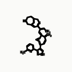 C=C1\C=C/C(c2c[nH]nc2-c2cccc(C)n2)=C/C=C/C1=C/C(=C\C)C1=NCC2=CC(=C1)CNCC2